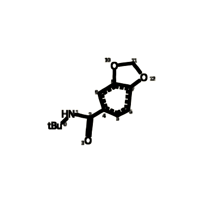 CC(C)(C)NC(=O)c1ccc2c(c1)OCO2